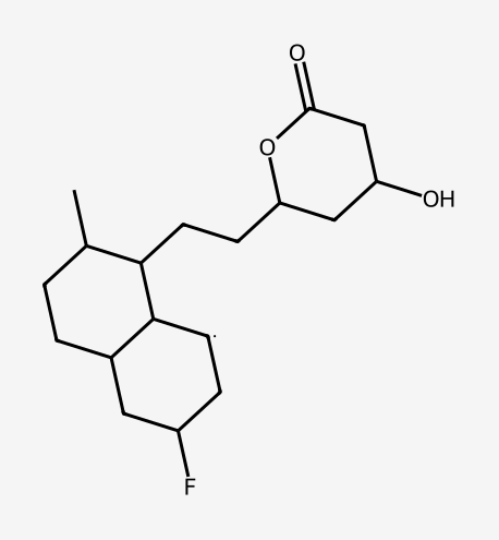 CC1CCC2CC(F)C[CH]C2C1CCC1CC(O)CC(=O)O1